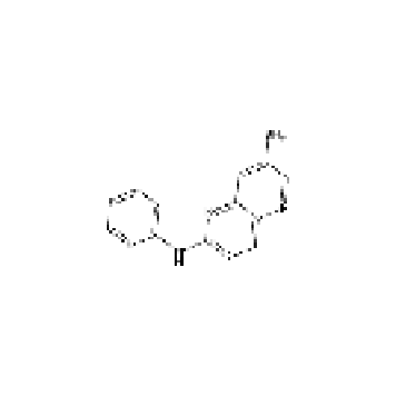 Bc1cnc2ccc(Nc3ccccc3)nc2c1